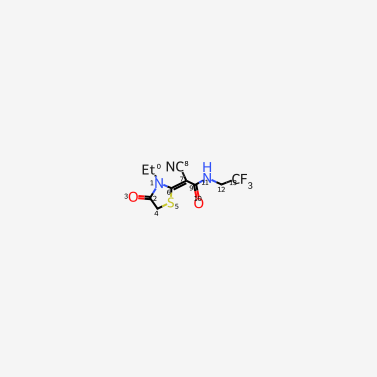 CCN1C(=O)CS/C1=C(/C#N)C(=O)NCC(F)(F)F